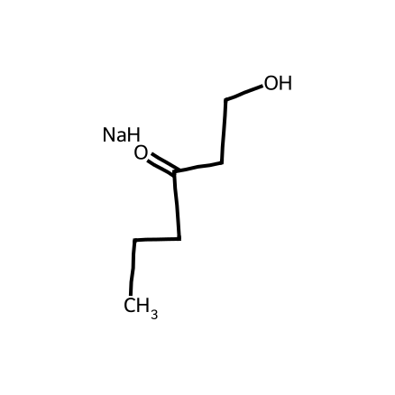 CCCC(=O)CCO.[NaH]